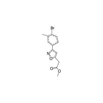 COC(=O)Cc1cc(-c2ccc(Br)c(C)c2)no1